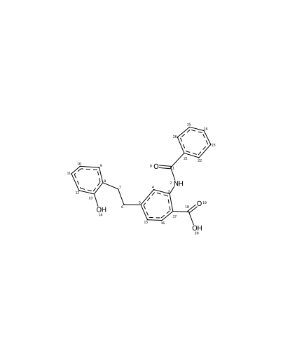 O=C(Nc1cc(CCc2ccccc2O)ccc1C(=O)O)c1ccccc1